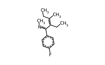 CC/C(C)=C(CC)\C(=N/C)c1ccc(F)cc1